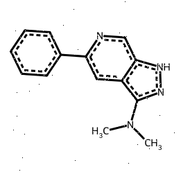 CN(C)c1n[nH]c2cnc(-c3ccccc3)cc12